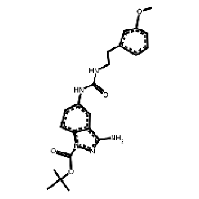 COc1cccc(CCNC(=O)Nc2ccc3c(c2)c(N)nn3C(=O)OC(C)(C)C)c1